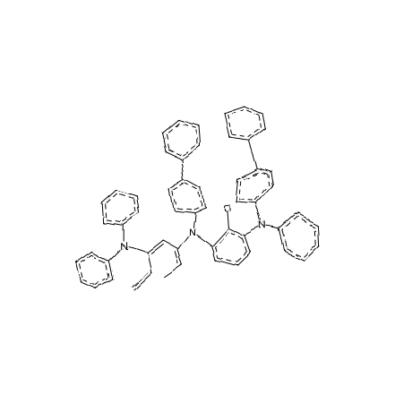 C=C/C(=C\C(=C/C)N(c1ccc(-c2ccccc2)cc1)c1cccc(N(c2ccccc2)c2ccc(-c3ccccc3)cc2)c1Cl)N(c1ccccc1)c1ccccc1